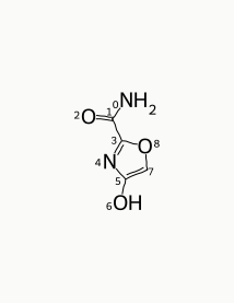 NC(=O)c1nc(O)co1